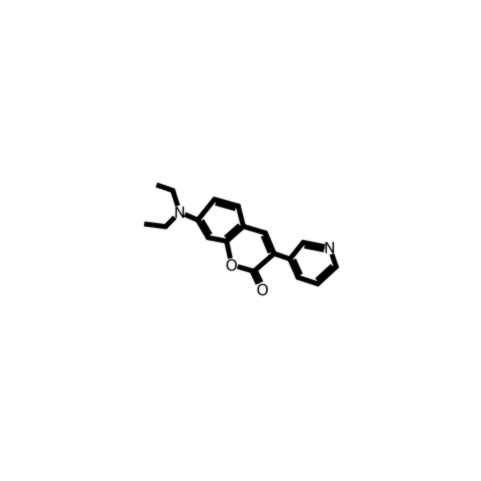 CCN(CC)c1ccc2cc(-c3cccnc3)c(=O)oc2c1